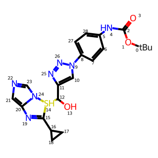 CC(C)(C)OC(=O)Nc1ccc(-n2cc(C(O)[SH]3C(C4CC4)=Nc4cncn43)nn2)cc1